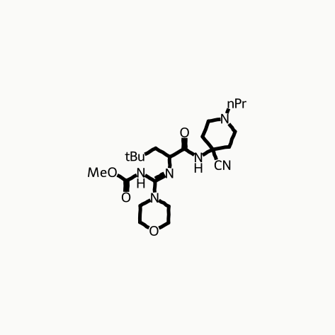 CCCN1CCC(C#N)(NC(=O)C(CC(C)(C)C)/N=C(\NC(=O)OC)N2CCOCC2)CC1